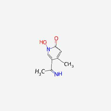 CC(=N)c1cn(O)c(=O)cc1C